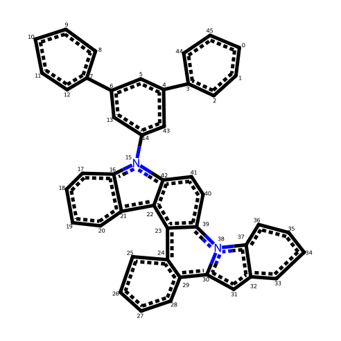 c1ccc(-c2cc(-c3ccccc3)cc(-n3c4ccccc4c4c5c6ccccc6c6cc7ccccc7n6c5ccc43)c2)cc1